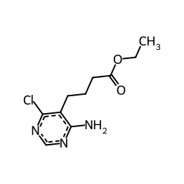 CCOC(=O)CCCc1c(N)ncnc1Cl